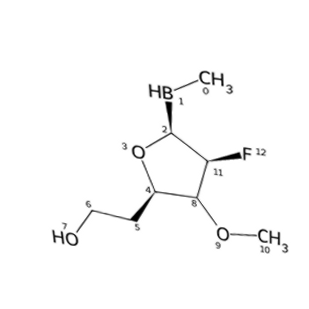 CB[C@@H]1O[C@H](CCO)C(OC)[C@@H]1F